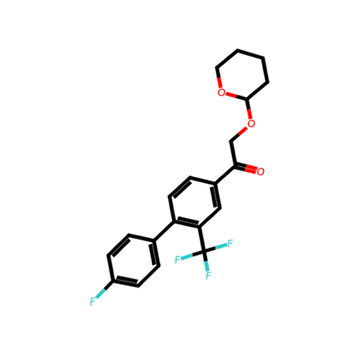 O=C(COC1CCCCO1)c1ccc(-c2ccc(F)cc2)c(C(F)(F)F)c1